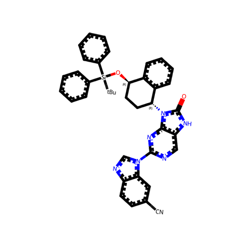 CC(C)(C)[Si](O[C@@H]1CC[C@@H](n2c(=O)[nH]c3cnc(-n4cnc5ccc(C#N)cc54)nc32)c2ccccc21)(c1ccccc1)c1ccccc1